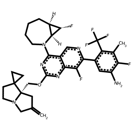 C=C1CN2CCC3(CC3)[C@@]2(COc2nc(N3CCCC[C@H]4[C@H](F)[C@H]43)c3cnc(-c4cc(N)c(F)c(C)c4C(F)(F)F)c(F)c3n2)C1